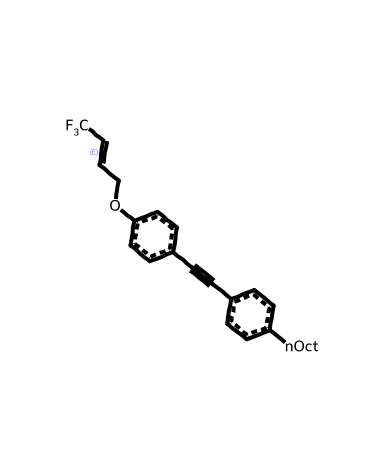 CCCCCCCCc1ccc(C#Cc2ccc(OC/C=C/C(F)(F)F)cc2)cc1